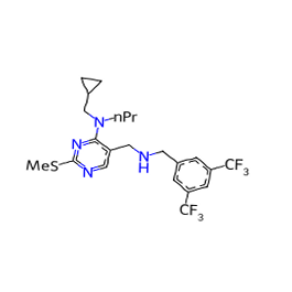 CCCN(CC1CC1)c1nc(SC)ncc1CNCc1cc(C(F)(F)F)cc(C(F)(F)F)c1